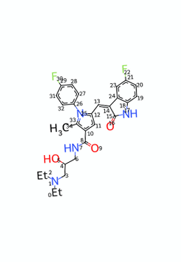 CCN(CC)CC(O)CNC(=O)c1cc(C=C2C(=O)Nc3ccc(F)cc32)n(-c2ccc(F)cc2)c1C